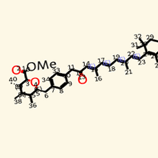 COC(=O)C1O[C@@H](Cc2ccc(CC(=O)/C=C(C)/C=C/C=C(C)/C=C/C3=C(C)CCCC3(C)C)cc2)C(C)[C@@H](C)[C@@H]1C